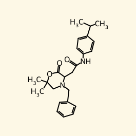 CC(C)c1ccc(NC(=O)CC2C(=O)OC(C)(C)CN2Cc2ccccc2)cc1